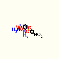 Nc1c(OP(N)(N)=O)cccc1S(=O)(=O)c1ccc([N+](=O)[O-])cc1